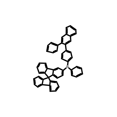 c1ccc(-c2cc3ccccc3cc2-c2ccc(N(c3ccccc3)c3ccc4c(c3)-c3ccccc3C43c4ccccc4-c4ccccc43)cc2)cc1